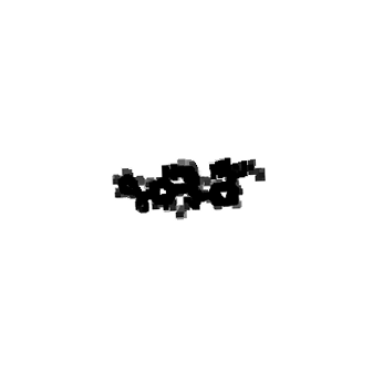 N=C(N)c1cccc(C(N)c2ccnc3cc(C(=O)N4CCCC4)ccc23)c1